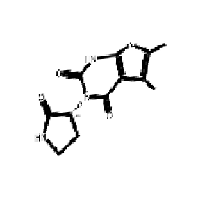 Cc1sc2[nH]c(=O)n([C@@H]3CCNC3=O)c(=O)c2c1C